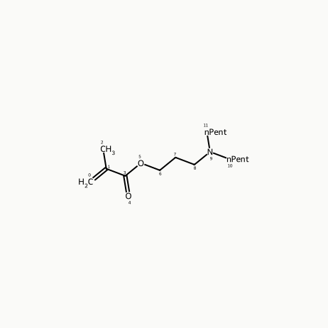 C=C(C)C(=O)OCCCN(CCCCC)CCCCC